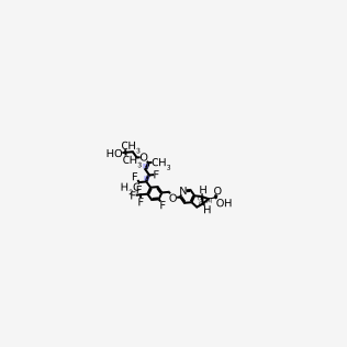 C=C(F)/C(=C(F)\C=C(/C)OCCC(C)(C)O)c1cc(COc2cc3c(cn2)[C@H]2[C@@H](C3)[C@@H]2C(=O)O)c(F)cc1C(F)(F)F